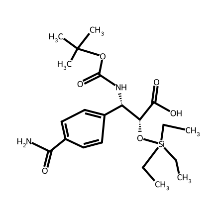 CC[Si](CC)(CC)O[C@@H](C(=O)O)[C@@H](NC(=O)OC(C)(C)C)c1ccc(C(N)=O)cc1